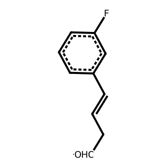 O=[C]CC=Cc1cccc(F)c1